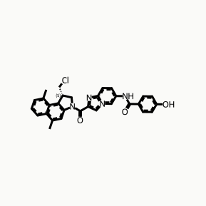 Cc1cc2c(c3c(C)cccc13)[C@H](CCl)CN2C(=O)c1cn2cc(NC(=O)c3ccc(O)cc3)ccc2n1